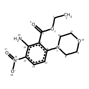 CCOC(=O)c1c(N2CCOCC2)ccc([N+](=O)[O-])c1N